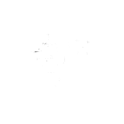 [2H]OC1C=C[C@@H]2[C@@]34CCN(C)[C@]2([2H])C([2H])([2H])c2ccc(OC([2H])([2H])[2H])c(c23)OC14